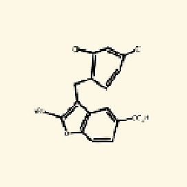 CCCc1oc2ccc(C(=O)O)cc2c1Cc1ccc(Cl)cc1Cl